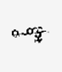 CCN(CC1CCC(CCOC2CCCCO2)CC1)c1ncc(C(F)(F)F)cc1CO